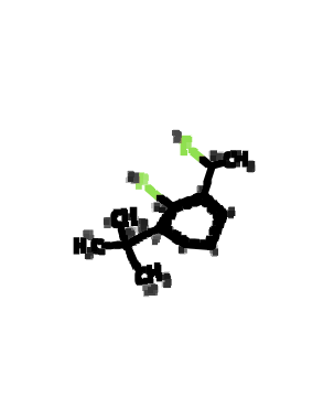 CC(F)c1cccc(C(C)(C)C)c1F